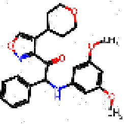 COc1cc(NC(C(=O)c2nocc2C2CCOCC2)c2ccccc2)cc(OC)c1